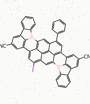 N#Cc1cc2c3c(c1)-c1cc(I)c4cc5c6c(cc(-c7ccccc7)c7cc(c1c4c76)B3c1ccccc1-2)-c1cc(C#N)cc2c1B5c1ccccc1-2